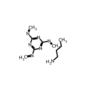 C=Nc1nc(N=C)nc(N=C)n1.CCCCN